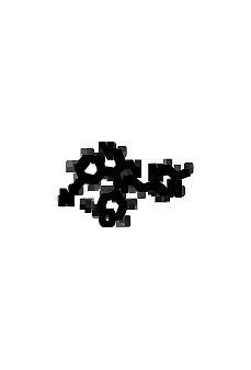 Cc1cnc(Cc2nc3cnc4ccc(C#N)cc4c3n2[C@@H]2CCO[C@H](C)C2)cn1